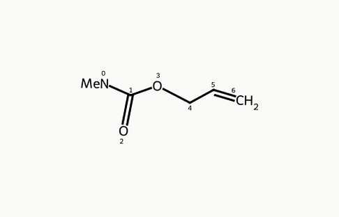 [CH2]NC(=O)OCC=C